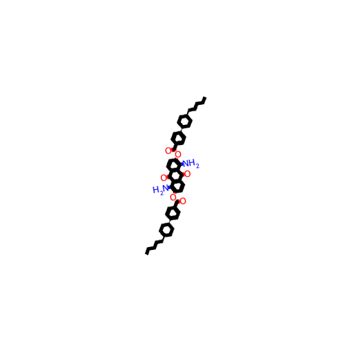 CCCCC[C@H]1CC[C@H](c2ccc(C(=O)Oc3ccc4c(c3N)C(=O)c3ccc(OC(=O)c5ccc([C@H]6CC[C@H](CCCCC)CC6)cc5)c(N)c3C4=O)cc2)CC1